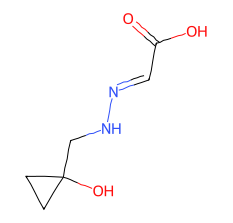 O=C(O)C=NNCC1(O)CC1